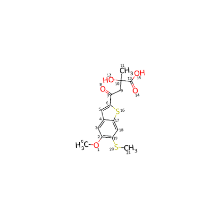 COc1cc2cc(C(=O)CC(C)(O)C(=O)O)sc2cc1SC